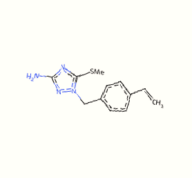 C=Cc1ccc(Cn2nc(N)nc2SC)cc1